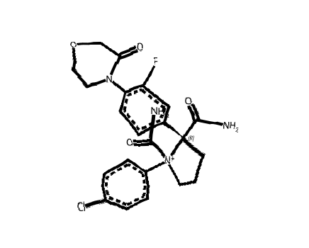 NC(=O)[C@]1(c2ccc(N3CCOCC3=O)c(F)c2)CCC[N+]1(C(N)=O)c1ccc(Cl)cc1